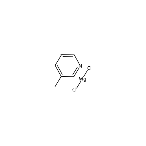 Cc1c[c]cnc1.[Cl][Mg][Cl]